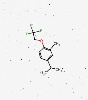 Cc1cc(C(C)C)ccc1OCC(F)(F)F